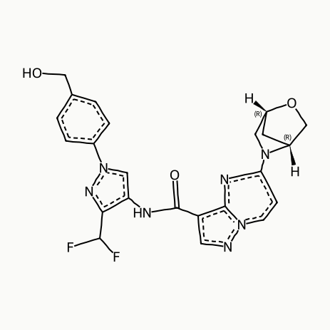 O=C(Nc1cn(-c2ccc(CO)cc2)nc1C(F)F)c1cnn2ccc(N3C[C@H]4C[C@@H]3CO4)nc12